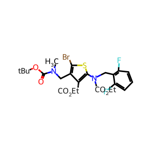 CCOC(=O)c1c(N(Cc2c(F)cccc2F)C(=O)OCC)sc(Br)c1CN(C)C(=O)OC(C)(C)C